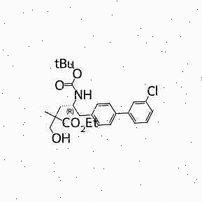 CCOC(=O)C(C)(CO)C[C@@H](Cc1ccc(-c2cccc(Cl)c2)cc1)NC(=O)OC(C)(C)C